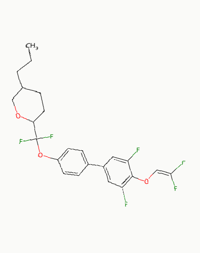 CCCC1CCC(C(F)(F)Oc2ccc(-c3cc(F)c(OC=C(F)F)c(F)c3)cc2)OC1